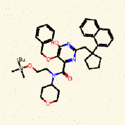 CC(C)(C)[Si](C)(C)OCCN(C(=O)c1nc(CC2(c3cccc4ccccc34)CCCC2)nc(O)c1OCc1ccccc1)C1CCOCC1